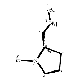 CCN1CCC[C@@H]1CNC(C)(C)C